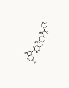 CCCCCCCCCCCN(C)C(=O)N[C@@H]1CCC[C@H](Nc2nc(-c3c[nH]c4ncc(F)cc34)ncc2F)C1